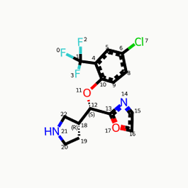 FC(F)(F)c1cc(Cl)ccc1O[C@H](c1ncco1)[C@@H]1CCNC1